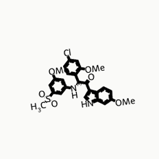 COc1cc(N[C@@H](C(=O)c2c[nH]c3cc(OC)ccc23)c2ccc(Cl)cc2OC)cc(S(C)(=O)=O)c1